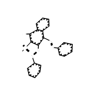 O=S(=O)(O)c1c(N=Nc2ccccc2)c(N=Nc2ccccc2)c2ccccc2c1O